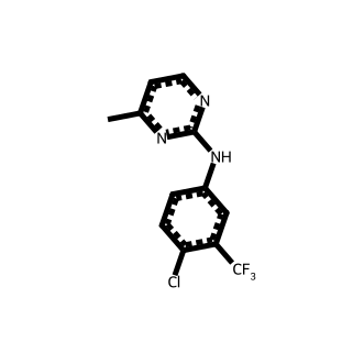 Cc1ccnc(Nc2ccc(Cl)c(C(F)(F)F)c2)n1